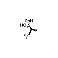 O=S(=O)(O)C(F)C(F)(F)F.[RbH]